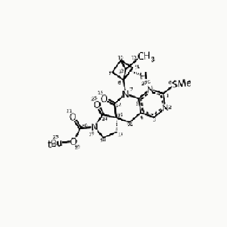 CSc1ncc2c(n1)N(C13CC(C1)[C@H]3C)C(=O)[C@@]1(CCN(C(=O)OC(C)(C)C)C1=O)C2